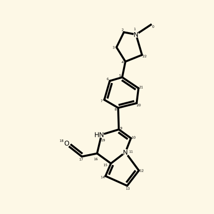 CN1CCC(c2ccc(C3=Cn4cccc4C(C=O)N3)cc2)C1